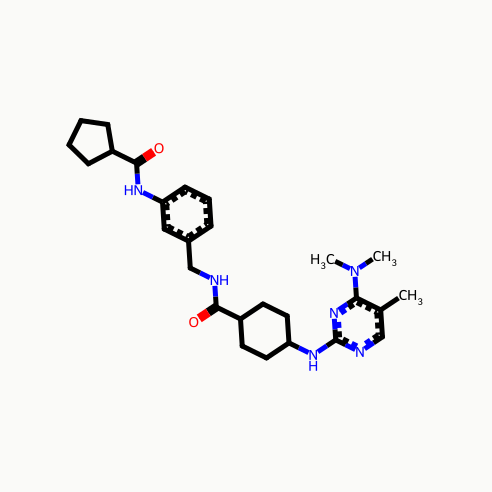 Cc1cnc(NC2CCC(C(=O)NCc3cccc(NC(=O)C4CCCC4)c3)CC2)nc1N(C)C